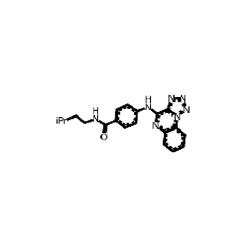 CC(C)CCNC(=O)c1ccc(Nc2nc3ccccc3n3nnnc23)cc1